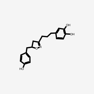 Oc1ccc(CC2CC(CCCc3ccc(O)c(O)c3)=NO2)cc1